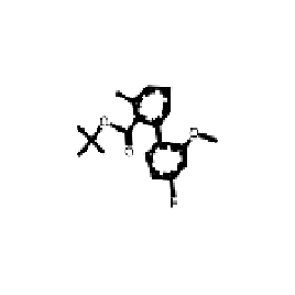 COc1cc(F)ccc1-c1cccc(C)c1C(=O)OC(C)(C)C